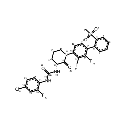 CS(=O)(=O)c1ccccc1-c1ccc(N2CCC[C@@H](NC(=O)Nc3ccc(Cl)cc3F)C2=O)c(F)c1F